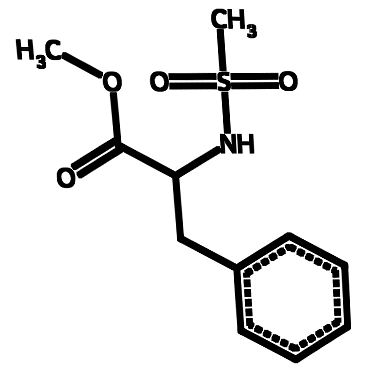 COC(=O)C(Cc1ccccc1)NS(C)(=O)=O